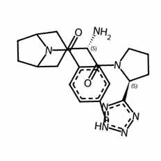 N[C@H](C(=O)N1CCC[C@H]1c1nn[nH]n1)C1CC2CCC(C1)N2C(=O)c1ccc(F)cc1